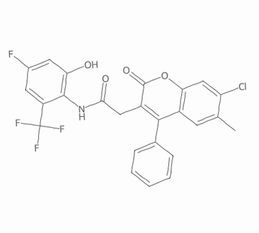 Cc1cc2c(-c3ccccc3)c(CC(=O)Nc3c(O)cc(F)cc3C(F)(F)F)c(=O)oc2cc1Cl